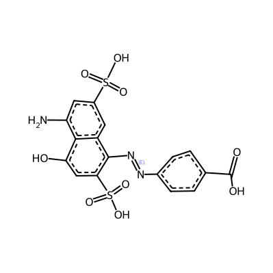 Nc1cc(S(=O)(=O)O)cc2c(/N=N/c3ccc(C(=O)O)cc3)c(S(=O)(=O)O)cc(O)c12